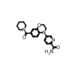 NC(=O)c1ccc(N2CCOc3cc(C(=O)N4CCCCC4)ccc32)cn1